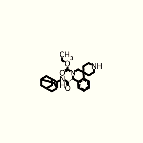 CCOC(=O)N1CC2(CCNCC2)c2ccccc2[C@@H]1C(=O)NC1C2CC3CC(C2)CC1C3